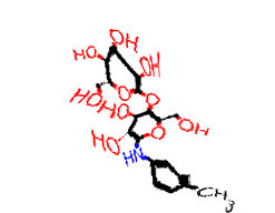 Cc1ccc(NC2O[C@H](CO)C(OC3O[C@H](CO)[C@@H](O)C(O)[C@H]3O)[C@H](O)[C@H]2O)cc1